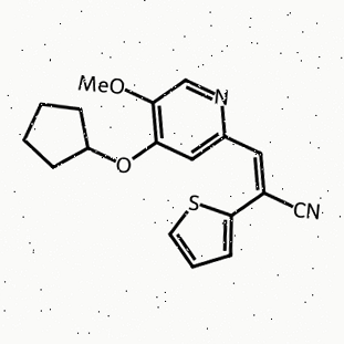 COc1cnc(/C=C(/C#N)c2cccs2)cc1OC1CCCC1